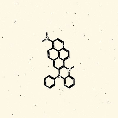 CN(C)c1ccc2ccc3c4c(cc5ccc1c2c53)B(c1ccccc1)c1ccccc1N4C